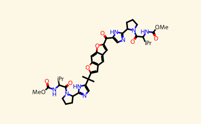 COC(=O)NC(C(=O)N1CCCC1c1ncc(C(=O)c2cc3cc4cc(C(C)(C)c5cnc(C6CCCN6C(=O)C(NC(=O)OC)C(C)C)[nH]5)oc4cc3o2)[nH]1)C(C)C